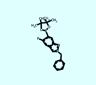 CC1(C)OB(c2cc3nn(Cc4ccccc4)cc3cc2F)OC1(C)C